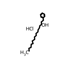 CCCCCCCCCCCCCCCC(O)CCc1ccccc1.Cl